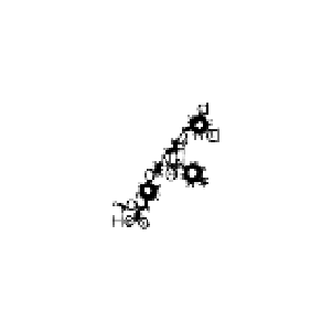 CCOC(Cc1ccc(OCCN(CCCOCc2cc(Cl)cc(Cl)c2)C(=O)Nc2ccc(F)cc2)cc1)C(=O)O